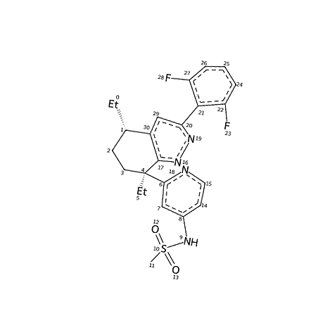 CC[C@H]1CC[C@](CC)(c2cc(NS(C)(=O)=O)ccn2)c2nnc(-c3c(F)cccc3F)cc21